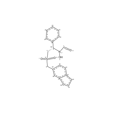 O=CN(O)[C@H](CS(=O)(=O)Cc1ccc2ccoc2c1)c1ccccc1